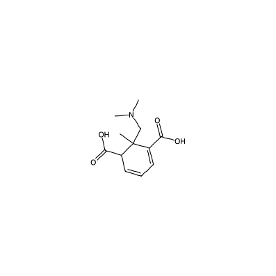 CN(C)CC1(C)C(C(=O)O)=CC=CC1C(=O)O